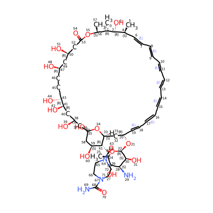 C[C@@H]1[C@H](O)[C@@H](C)/C=C/C=C/C=C/C=C/C=C/C=C/C=C/[C@H](O[C@@H]2O[C@H](C)[C@@H](O)[C@H](N)[C@@H]2O)C[C@@H]2O[C@](O)(C[C@@H](O)C[C@@H](O)[C@H](O)CC[C@@H](O)C[C@@H](O)CC(=O)O[C@H]1C)C[C@H](O)[C@H]2C(=O)N1CCN(C(N)=O)CC1